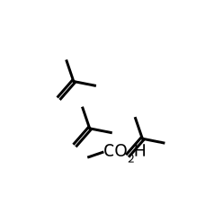 C=C(C)C.C=C(C)C.C=C(C)C.CC(=O)O